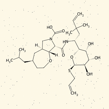 C=CCS[C@H]1O[C@H]([C@@H](CC(C)(C)C=C)NC(=O)[C@@H]2[C@@H]3OCC[C@@H](CC(C)C)C[C@H]3CN2C(=O)O)[C@H](O)[C@H](O)[C@H]1O